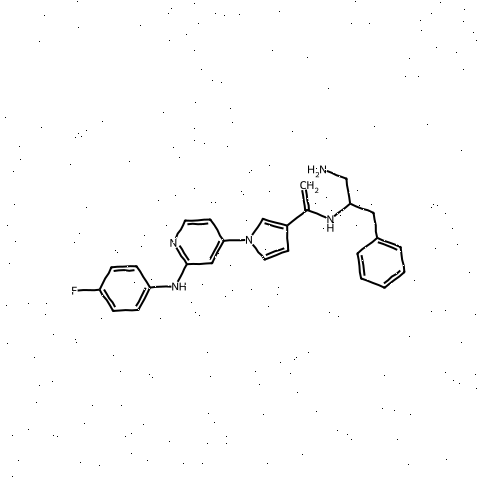 C=C(NC(CN)Cc1ccccc1)c1ccn(-c2ccnc(Nc3ccc(F)cc3)c2)c1